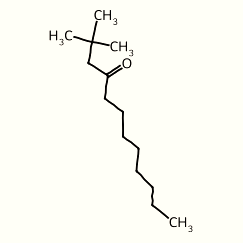 CCCCCCCCC(=O)CC(C)(C)C